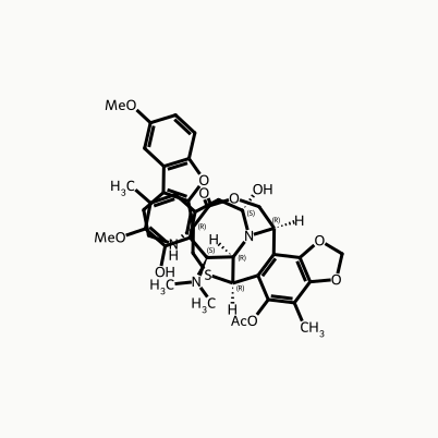 COc1ccc2oc3c(c2c1)CCN[C@]31CS[C@@H]2c3c(OC(C)=O)c(C)c4c(c3[C@H](COC1=O)N1[C@@H]2[C@@H](N(C)C)c2c(cc(C)c(OC)c2O)C[C@@H]1O)OCO4